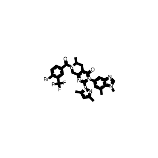 Cc1cc(C)n(-c2nc3c(c(=O)n2-c2cc(C)c4c(c2)ncn4C)CC(C)N(C(=O)c2ccc(Br)c(C(F)(F)F)c2)C3)n1